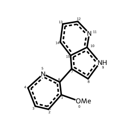 COc1[c]ccnc1-c1c[nH]c2ncccc12